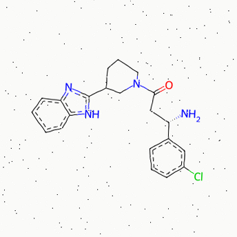 N[C@@H](CC(=O)N1CCCC(c2nc3ccccc3[nH]2)C1)c1cccc(Cl)c1